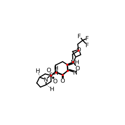 O=C(NC1C[C@H]2CC[C@@H](C1)N2S(=O)(=O)C1CCC(NCCCC(F)(F)F)CC1)c1cc(C2COC2)on1